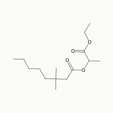 CCCCCC(C)(C)CC(=O)OC(C)C(=O)OCC